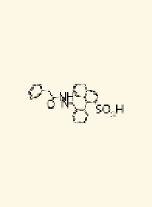 O=C(Cc1ccccc1)N/N=C/c1ccccc1-c1c(S(=O)(=O)O)ccc2ccccc12